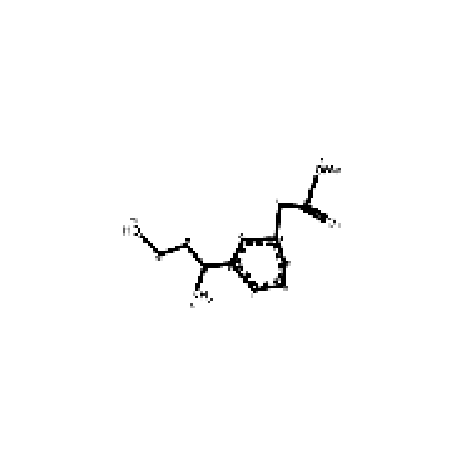 COC(=O)Cc1cccc(C(N)CCO)c1